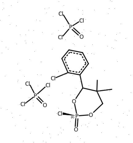 CC1(C)CO[P@@](=O)(Cl)OC1c1ccccc1Cl.O=P(Cl)(Cl)Cl.O=P(Cl)(Cl)Cl